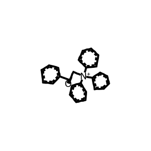 O=C(C[N+](c1ccccc1)(c1ccccc1)c1ccccc1)c1ccccc1